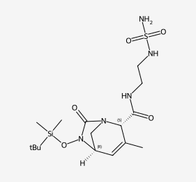 CC1=C[C@@H]2CN(C(=O)N2O[Si](C)(C)C(C)(C)C)[C@@H]1C(=O)NCCNS(N)(=O)=O